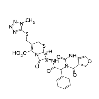 Cn1nnnc1SCC1=C(C(=O)O)N2C(=O)[C@H](NC(=O)C(C3=CCC=CC3)N(C(N)=O)C(=O)c3ccoc3)[C@@H]2SC1